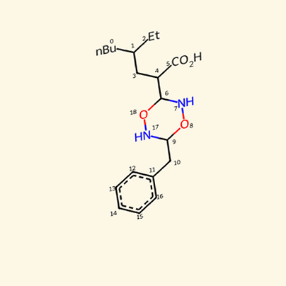 CCCCC(CC)CC(C(=O)O)C1NOC(Cc2ccccc2)NO1